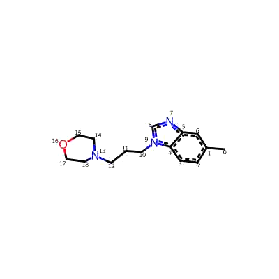 Cc1ccc2c(c1)ncn2CCCN1CCOCC1